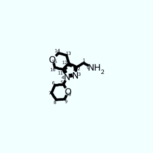 NCc1nn(C2CCCCO2)c2c1CCOC2